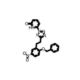 O=c1cccc(-n2nnc(CCc3cc([N+](=O)[O-])ccc3OCc3ccccc3)n2)[nH]1